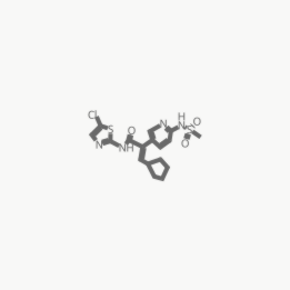 CS(=O)(=O)Nc1ccc(/C(=C\C2CCCC2)C(=O)Nc2ncc(Cl)s2)cn1